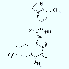 Cc1cc(-c2[nH]c3cc(C(=O)N(C)[C@H]4CNC[C@@H](C(F)(F)F)C4)sc3c2C(C)C)cn2ncnc12